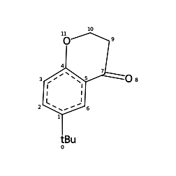 CC(C)(C)c1ccc2c(c1)C(=O)CCO2